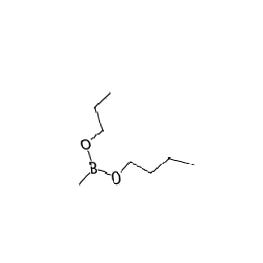 CCCCOB(C)OCCC